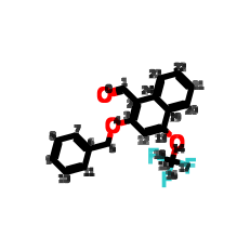 O=Cc1c(OCc2ccccc2)cc(OC(F)(F)F)c2ccccc12